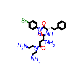 NCCN(CCN)C(=O)C[C@H](N)C(=O)N[C@@H](CCc1ccccc1)C(=O)Nc1ccc(Br)cc1